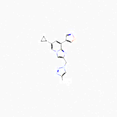 O=C(O)c1cn(Cc2cn3cc(C4CC4)cc(-c4cnoc4)c3n2)nn1